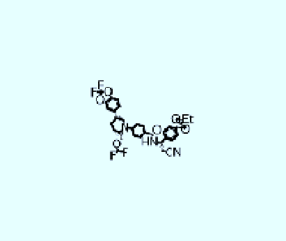 CCS(=O)(=O)c1ccc([C@H](CC#N)NC(=O)c2ccc(N3C[C@@H](c4ccc5c(c4)OC(F)(F)O5)CC[C@H]3COC(F)F)cc2)cc1